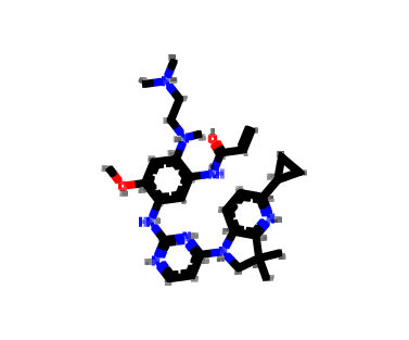 C=CC(=O)Nc1cc(Nc2nccc(N3CC(C)(C)c4nc(C5CC5)ccc43)n2)c(OC)cc1N(C)CCN(C)C